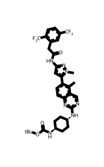 Cc1c(-c2cc(NC(=O)Cc3cc(C(F)(F)F)ccc3C(F)(F)F)nn2C)ccc2nc(N[C@H]3CC[C@H](NC(=O)OC(C)(C)C)CC3)ncc12